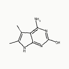 Cc1[nH]c2nc(O)nc(N)c2c1C